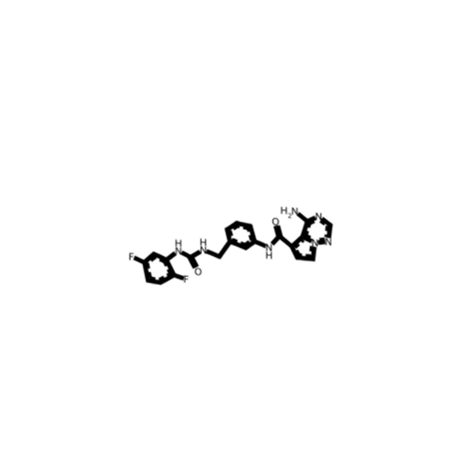 Nc1ncnn2ccc(C(=O)Nc3cccc(CNC(=O)Nc4cc(F)ccc4F)c3)c12